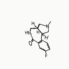 CN1C[C@H]2CNC(=O)c3cc(F)ccc3[C@@H]2C1